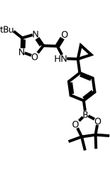 CC(C)(C)c1noc(C(=O)NC2(c3ccc(B4OC(C)(C)C(C)(C)O4)cc3)CC2)n1